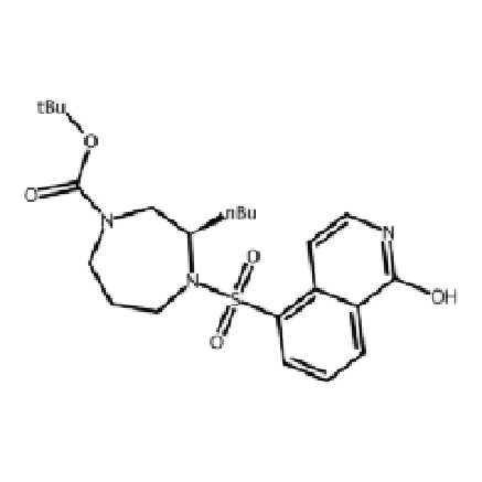 CCCC[C@@H]1CN(C(=O)OC(C)(C)C)CCCN1S(=O)(=O)c1cccc2c(O)nccc12